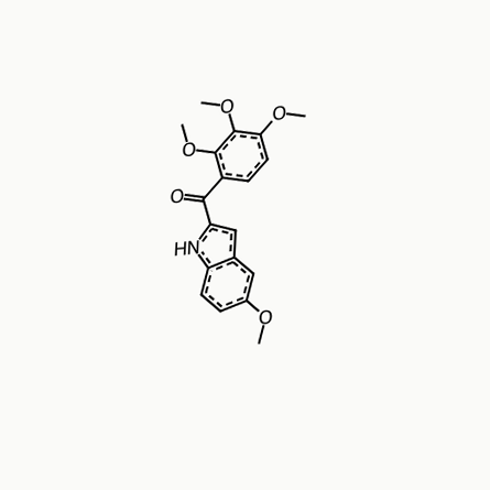 COc1ccc2[nH]c(C(=O)c3ccc(OC)c(OC)c3OC)cc2c1